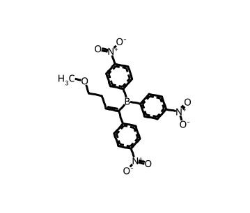 COCC/C=C(\B(c1ccc([N+](=O)[O-])cc1)c1ccc([N+](=O)[O-])cc1)c1ccc([N+](=O)[O-])cc1